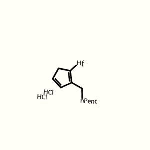 CCCCCCC1=[C]([Hf])CC=C1.Cl.Cl